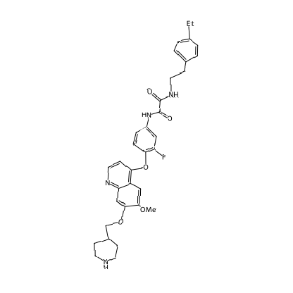 CCc1ccc(CCNC(=O)C(=O)Nc2ccc(Oc3ccnc4cc(OCC5CCNCC5)c(OC)cc34)c(F)c2)cc1